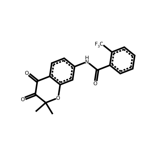 CC1(C)Oc2cc(NC(=O)c3ccccc3C(F)(F)F)ccc2C(=O)C1=O